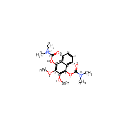 CCCOc1c(OCCC)c(OC(=O)N(C)C)c2ccccc2c1OC(=O)N(C)C